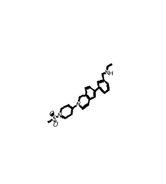 CCNCc1cccc(-c2ccc3c(c2)C=CN(C2CCN(S(C)(=O)=O)CC2)C3)c1